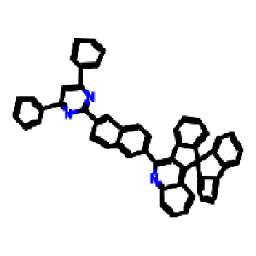 c1ccc(-c2cc(-c3ccccc3)nc(-c3ccc4cc(-c5nc6ccccc6c6c5-c5ccccc5C65c6ccccc6-c6ccccc65)ccc4c3)n2)cc1